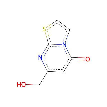 O=c1cc(CO)nc2sccn12